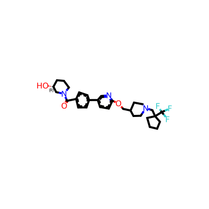 O=C(c1ccc(-c2ccc(OCC3CCN(CC4(C(F)(F)F)CCCC4)CC3)nc2)cc1)N1CCC[C@@H](O)C1